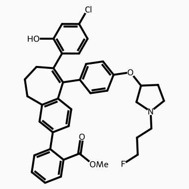 COC(=O)c1ccccc1-c1ccc2c(c1)CCCC(c1ccc(Cl)cc1O)=C2c1ccc(OC2CCN(CCCF)C2)cc1